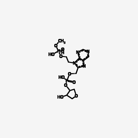 CO[PH](O)(O)OCCn1c(COP(=O)(O)OC2COCC2O)nc2cncnc21